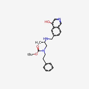 C[C@H](CN(CCc1ccccc1)C(=O)OC(C)(C)C)NCc1ccc2cncc(O)c2c1